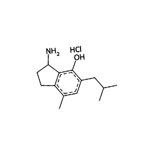 Cc1cc(CC(C)C)c(O)c2c1CCC2N.Cl